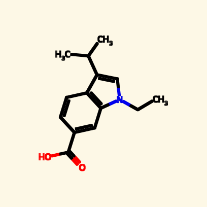 CCn1cc(C(C)C)c2ccc(C(=O)O)cc21